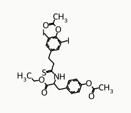 CCOC(=O)C(Cc1ccc(OC(C)=O)cc1)NC(=S)CCc1cc(I)c(OC(C)=O)c(I)c1